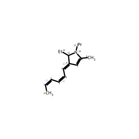 C\C=C/C=C\C=C1/C=C(C)N(C(C)C)C1CC